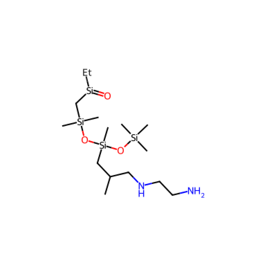 CC[Si](=O)C[Si](C)(C)O[Si](C)(CC(C)CNCCN)O[Si](C)(C)C